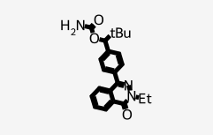 CCn1nc(-c2ccc(C(OC(N)=O)C(C)(C)C)cc2)c2ccccc2c1=O